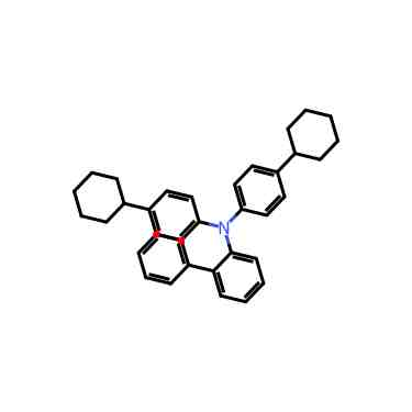 c1ccc(-c2ccccc2N(c2ccc(C3CCCCC3)cc2)c2ccc(C3CCCCC3)cc2)cc1